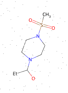 CCC([O])N1CCN(S(C)(=O)=O)CC1